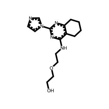 OCCOCCNc1nc(-n2ccnc2)nc2c1CCCC2